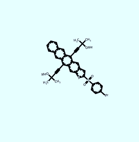 COC(C)(C)C#Cc1c2cc3ccccc3cc2c(C#CC(C)(C)OC)c2cc3sc(S(=O)(=O)c4ccc(C(C)C)cc4)cc3cc12